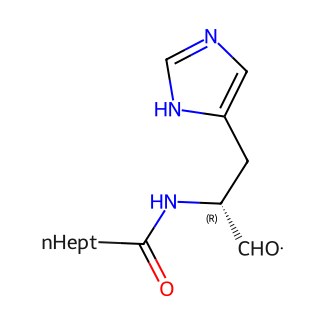 CCCCCCCC(=O)N[C@@H]([C]=O)Cc1cnc[nH]1